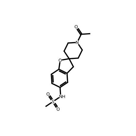 CC(=O)N1CCC2(CC1)Cc1cc(NS(C)(=O)=O)ccc1O2